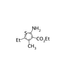 CCOC(=O)c1c(N)sc(CC)c1C